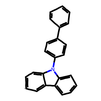 [c]1ccc2c(c1)c1ccccc1n2-c1ccc(-c2ccccc2)cc1